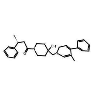 CC1=CN(CC2(O)CCN(C(=O)C[C@@H](C)c3ccccc3)CC2)CC=C1c1ccccc1